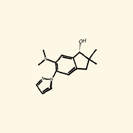 CN(C)c1cc2c(cc1-n1cccn1)CC(C)(C)[C@H]2O